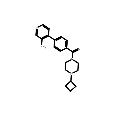 Nc1cnccc1-c1ccc(C(=O)N2CCN(C3CCC3)CC2)cc1